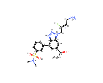 CNC(=O)c1cc(-c2cccc(S(=O)(=O)N(C)C)c2)c2nnn(C/C(F)=C/CN)c2c1